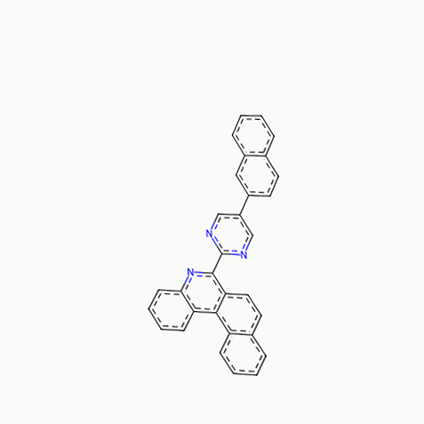 c1ccc2cc(-c3cnc(-c4nc5ccccc5c5c4ccc4ccccc45)nc3)ccc2c1